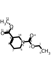 CCOC(=O)N1CCC=C(C(=O)OC)C1